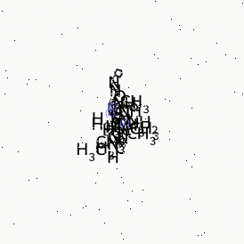 CC(C)CCNC(=O)[C@@H]1[C@H](C)CCN1C(=O)CN/C(=N\C(C(=O)NC(C(=O)N[C@@H](/C=N/C=C\S)CC(=O)N1CCN(Cc2ccccc2)CC1)[C@@H](C)c1ccccc1)C(C)(C)C)C(N)C(C)(C)C